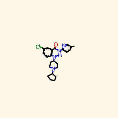 Cc1ccc(NC(=O)c2cc(Cl)ccc2N(C)C2CCN(C3CCCC3)CC2)nc1